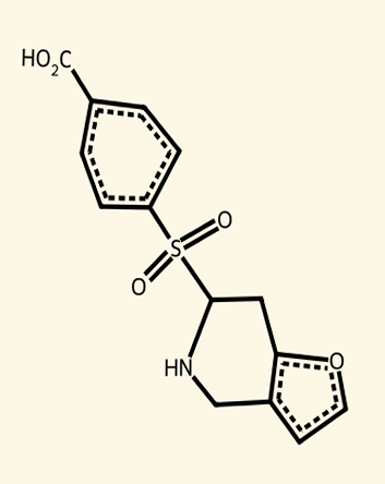 O=C(O)c1ccc(S(=O)(=O)C2Cc3occc3CN2)cc1